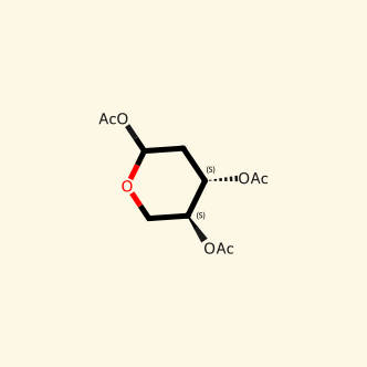 CC(=O)OC1C[C@H](OC(C)=O)[C@@H](OC(C)=O)CO1